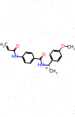 C=CC(=O)Nc1ccc(C(=O)N[C@@H](C)c2ccc(OC)cc2)cc1